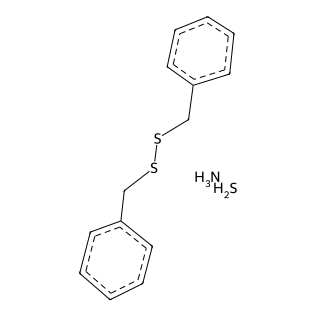 N.S.c1ccc(CSSCc2ccccc2)cc1